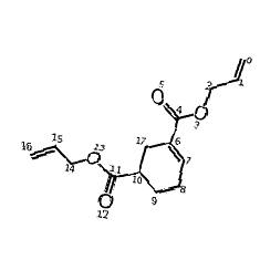 C=CCOC(=O)C1=CCCC(C(=O)OCC=C)C1